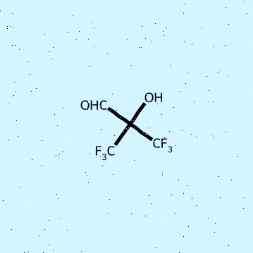 O=CC(O)(C(F)(F)F)C(F)(F)F